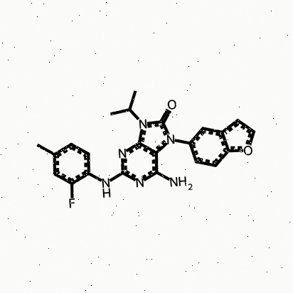 Cc1ccc(Nc2nc(N)c3c(n2)n(C(C)C)c(=O)n3-c2ccc3occc3c2)c(F)c1